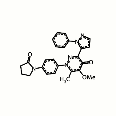 COc1c(C)n(-c2ccc(N3CCCC3=O)cc2)nc(-c2ccnn2-c2ccccc2)c1=O